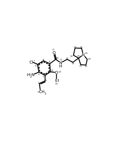 CC=Cc1c(N)c(Cl)cc(C(=O)NCCC23CCCN2CCC3)c1OCC